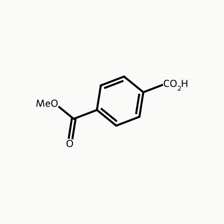 [CH2]OC(=O)c1ccc(C(=O)O)cc1